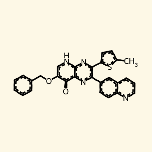 Cc1ccc(-c2nc3[nH]cc(OCc4ccccc4)c(=O)c3nc2-c2ccc3ncccc3c2)s1